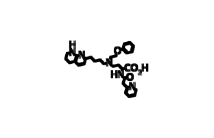 O=C(Cc1ccccn1)NC(CCN(CCCCc1ccc2c(n1)NCCC2)CCOc1ccccc1)C(=O)O